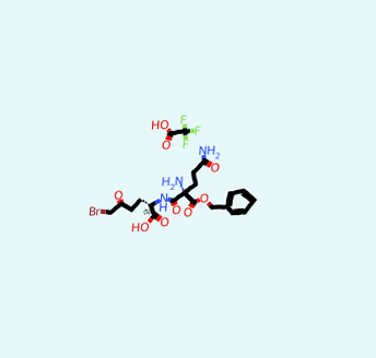 NC(=O)CC[C@](N)(C(=O)N[C@@H](CCC(=O)CBr)C(=O)O)C(=O)OCc1ccccc1.O=C(O)C(F)(F)F